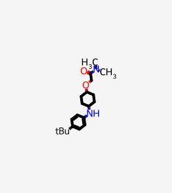 CN(C)C(=O)COC1CCC(Nc2ccc(C(C)(C)C)cc2)CC1